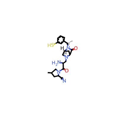 CC1CC(C#N)N(C(=O)C(N)CN2C[C@@H]3CC2C(=O)N3[C@@H](C)c2cccc(S)c2)C1